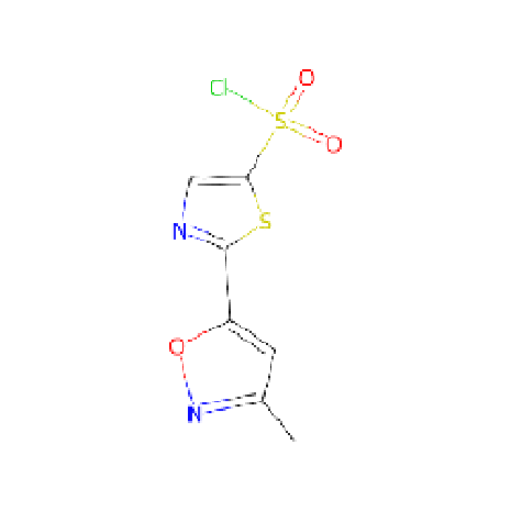 Cc1cc(-c2ncc(S(=O)(=O)Cl)s2)on1